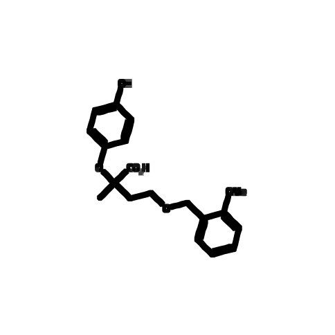 COc1ccccc1COCCC(C)(Oc1ccc(O)cc1)C(=O)O